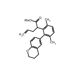 C=CCC(C(=O)OC)c1c(C)ccc(C)c1-c1ccc2c(c1)CCCO2